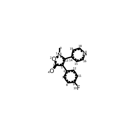 Cn1oc(=O)c(-c2ccc(F)cc2)c1-c1ccncc1